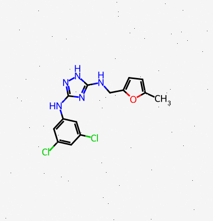 Cc1ccc(CNc2nc(Nc3cc(Cl)cc(Cl)c3)n[nH]2)o1